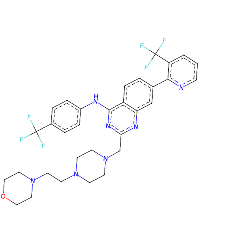 FC(F)(F)c1ccc(Nc2nc(CN3CCN(CCN4CCOCC4)CC3)nc3cc(-c4ncccc4C(F)(F)F)ccc23)cc1